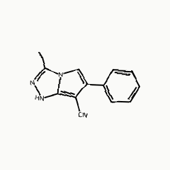 Cc1n[nH]c2c(C#N)c(-c3ccccc3)cn12